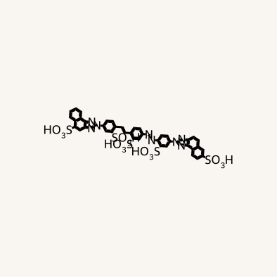 O=S(=O)(O)c1ccc2c(ccc3c2n2n(-c4ccc(N=Nc5ccc(C=Cc6ccc(-n7n8c9cc(S(=O)(=O)O)c%10ccccc%10c9n78)cc6S(=O)(=O)O)c(S(=O)(=O)O)c5)c(S(=O)(=O)O)c4)n32)c1